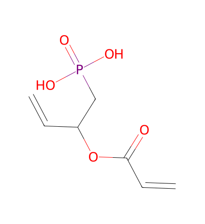 C=CC(=O)OC(C=C)CP(=O)(O)O